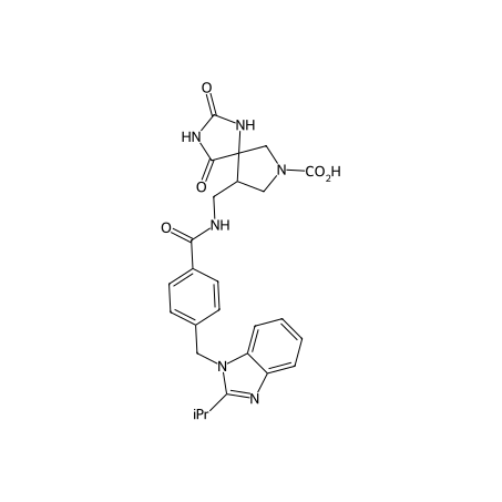 CC(C)c1nc2ccccc2n1Cc1ccc(C(=O)NCC2CN(C(=O)O)CC23NC(=O)NC3=O)cc1